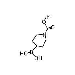 CC(C)OC(=O)N1CCC(B(O)O)CC1